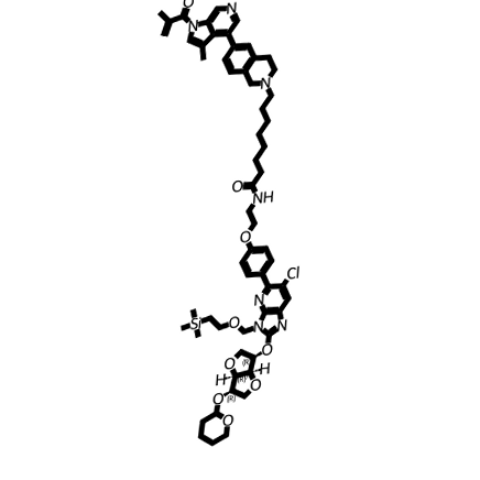 C=C(C)C(=O)n1cc(C)c2c(-c3ccc4c(c3)CCN(CCCCCCCC(=O)NCCOc3ccc(-c5nc6c(cc5Cl)nc(O[C@@H]5CO[C@H]7[C@@H]5OC[C@H]7OC5CCCCO5)n6COCC[Si](C)(C)C)cc3)C4)cncc21